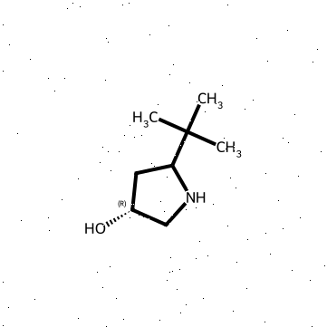 CC(C)(C)C1C[C@@H](O)CN1